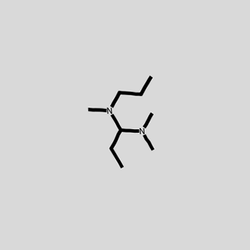 CCCN(C)C(CC)N(C)C